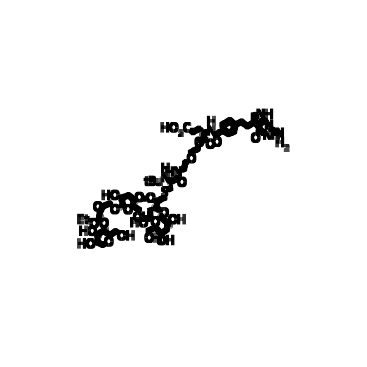 CCO[C@H](O[C@@H]1C(CO)OCC(O)[C@H]1O)C1OC1CO[C@H]1OC(CO)[C@@H](OCOC(CSC[C@@H](NC(C)(C)C)C(=O)NCCOCCOC(=O)[C@H](CCC(=O)O)NC(=O)c2ccc(CCc3c[nH]c4nc(N)[nH]c(=O)c34)cc2)[C@H](CCO)O[C@@H]2OC(CO)[C@@H](O)C[C@@H]2O)C[C@@H]1O